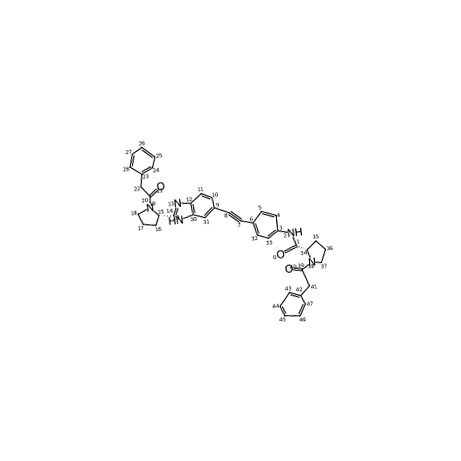 O=C(Nc1ccc(C#Cc2ccc3nc([C@@H]4CCCN4C(=O)Cc4ccccc4)[nH]c3c2)cc1)[C@@H]1CCCN1C(=O)Cc1ccccc1